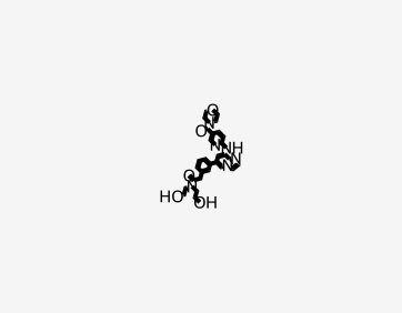 O=C(Cc1cccc(-c2cc(Nc3ccc(C(=O)N4CCOCC4)cn3)c3nccn3c2)c1)N(CCO)CCO